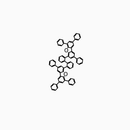 c1ccc(-c2cc(-c3ccccc3)c3oc4c(-c5ccccc5-c5ccccc5-c5cc(-c6ccccc6)cc6c5oc5c(-c7ccccc7)cc(-c7ccccc7)cc56)cc(-c5ccccc5)cc4c3c2)cc1